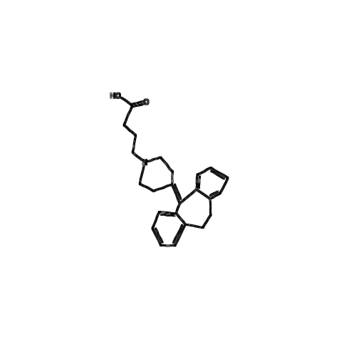 O=C(O)CCCN1CCC(=C2c3ccccc3CCc3ccccc32)CC1